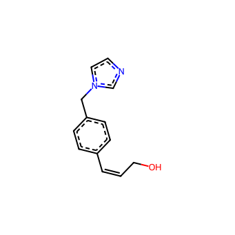 OC/C=C\c1ccc(Cn2ccnc2)cc1